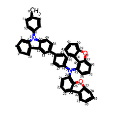 Cc1ccc(-n2c3ccccc3c3cc(-c4ccc(N(c5cccc6c5oc5ccccc56)c5cccc6oc7ccccc7c56)cc4)ccc32)cc1